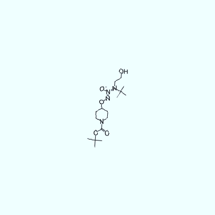 CC(C)(C)OC(=O)N1CCC(O/N=[N+](\[O-])N(CCO)C(C)(C)C)CC1